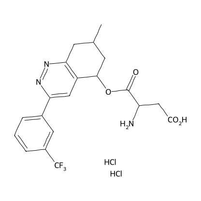 CC1Cc2nnc(-c3cccc(C(F)(F)F)c3)cc2C(OC(=O)C(N)CC(=O)O)C1.Cl.Cl